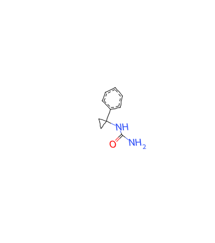 NC(=O)NC1(c2ccccc2)CC1